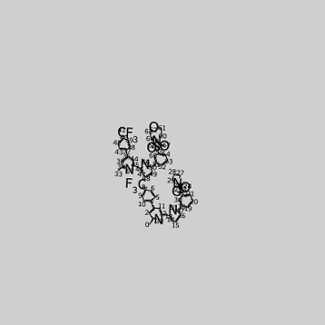 Cc1cc(-c2ccc(C(F)(F)F)cc2)cc(-c2cccc(-c3cccc(S(=O)(=O)N4CCC4)c3)n2)n1.Cc1cc(-c2ccc(C(F)(F)F)cc2)cc(-c2cccc(-c3cccc(S(=O)(=O)N4CCOCC4)c3)n2)n1